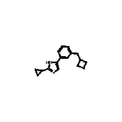 [c]1ccc(CC2CCC2)cc1-c1cnc(C2CC2)[nH]1